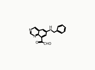 O=CC(=O)c1cc(NCc2ccccc2)cc2cncnc12